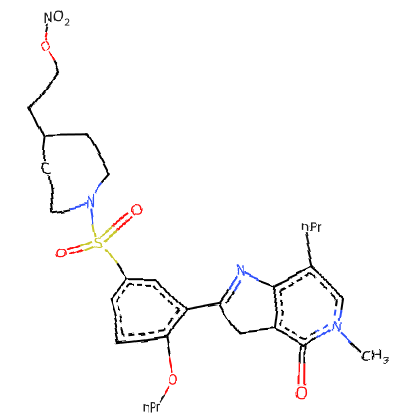 CCCOc1ccc(S(=O)(=O)N2CCC(CCO[N+](=O)[O-])CC2)cc1C1=Nc2c(CCC)cn(C)c(=O)c2C1